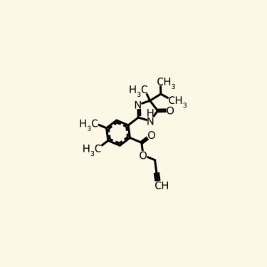 C#CCOC(=O)c1cc(C)c(C)cc1C1=NC(C)(C(C)C)C(=O)N1